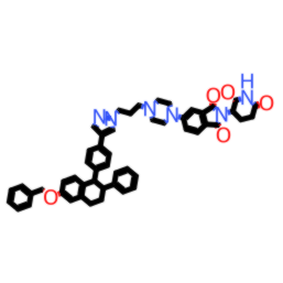 O=C1CCC(N2C(=O)c3ccc(N4CCN(CCCn5cc(-c6ccc(C7c8ccc(OCc9ccccc9)cc8CCC7c7ccccc7)cc6)cn5)CC4)cc3C2=O)C(=O)N1